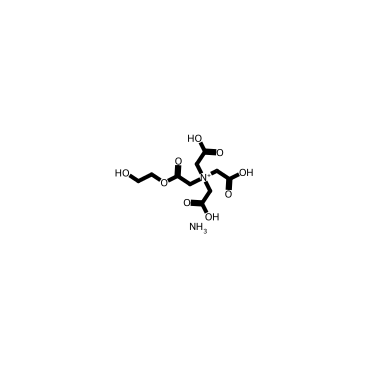 N.O=C(O)C[N+](CC(=O)O)(CC(=O)O)CC(=O)OCCO